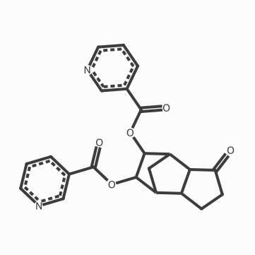 O=C(OC1C2CC(C1OC(=O)c1cccnc1)C1C(=O)CCC21)c1cccnc1